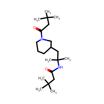 CC(C)(C)CC(=O)NC(C)(C)CC1CCCN(C(=O)CC(C)(C)C)C1